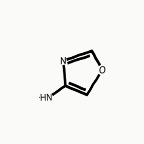 [NH]c1cocn1